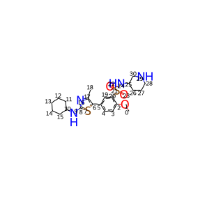 COc1ccc(-c2sc(NC3CCCCC3)nc2C)cc1S(=O)(=O)NC1CCCNC1